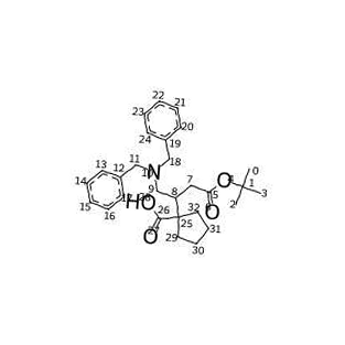 CC(C)(C)OC(=O)CC(CN(Cc1ccccc1)Cc1ccccc1)C1(C(=O)O)CCCC1